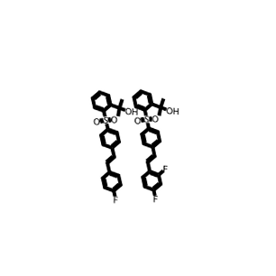 CC(C)(O)c1ccccc1S(=O)(=O)c1ccc(C=Cc2ccc(F)cc2)cc1.CC(C)(O)c1ccccc1S(=O)(=O)c1ccc(C=Cc2ccc(F)cc2F)cc1